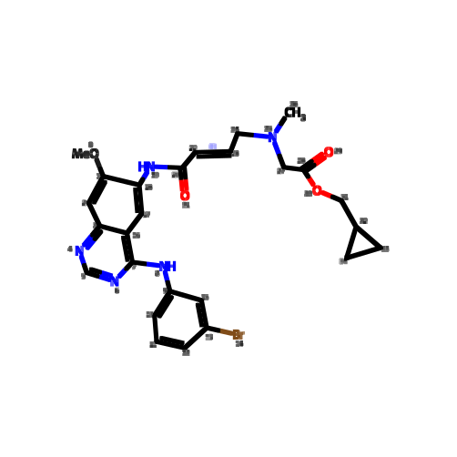 COc1cc2ncnc(Nc3cccc(Br)c3)c2cc1NC(=O)/C=C/CN(C)CC(=O)OCC1CC1